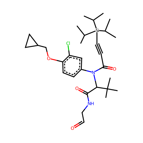 CC(C)[Si](C#CC(=O)N(c1ccc(OCC2CC2)c(Cl)c1)C(C(=O)NCC=O)C(C)(C)C)(C(C)C)C(C)C